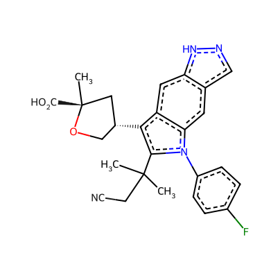 CC(C)(CC#N)c1c([C@@H]2CO[C@@](C)(C(=O)O)C2)c2cc3[nH]ncc3cc2n1-c1ccc(F)cc1